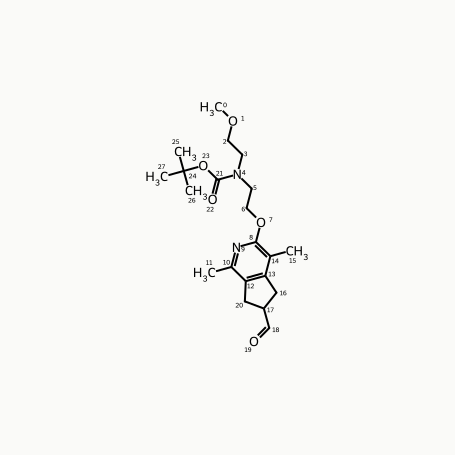 COCCN(CCOc1nc(C)c2c(c1C)CC(C=O)C2)C(=O)OC(C)(C)C